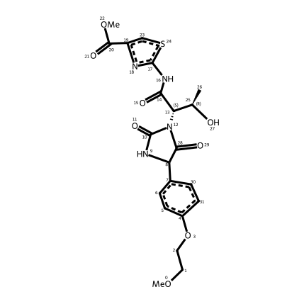 COCCOc1ccc(C2NC(=O)N([C@H](C(=O)Nc3nc(C(=O)OC)cs3)[C@@H](C)O)C2=O)cc1